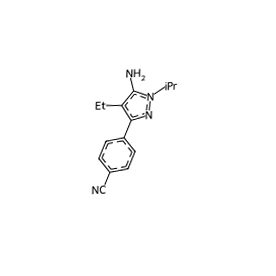 CCc1c(-c2ccc(C#N)cc2)nn(C(C)C)c1N